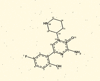 Nc1nc(-c2cc(F)ccc2O)cn(C2CCCNC2)c1=O